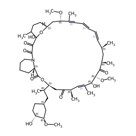 CO[C@H]1C[C@@H]2CCC(C)C(O)(O2)C(=O)C(=O)N2CCCC[C@H]2C(=O)O[C@H]([C@H](C)C[C@@H]2CC[C@@H](O)[C@H](OC)C2)CC(=O)[C@H](C)/C=C(\C)[C@@H](O)[C@@H](OC)C(=O)[C@H](C)C[C@H](C)/C=C/C=C/C=C/1C